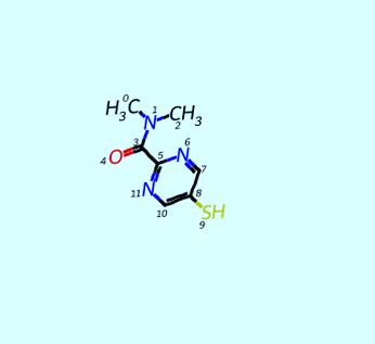 CN(C)C(=O)c1ncc(S)cn1